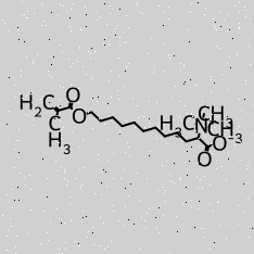 C=C(C)C(=O)OCCCCCCCCCCC(C(=O)[O-])[N+](C)(C)C